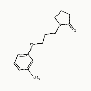 Cc1cccc(OCCCN2CCCC2=O)c1